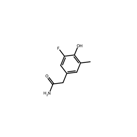 Cc1cc(CC(N)=O)cc(F)c1O